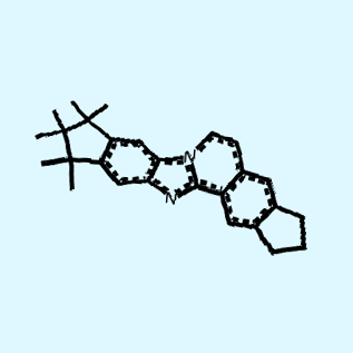 CC1(C)c2cc3nc4c5cc6c(cc5ccn4c3cc2C(C)(C)C1(C)C)CCC6